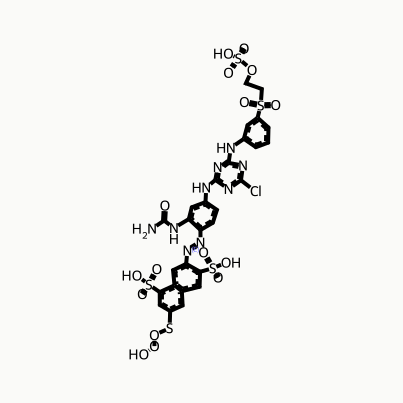 NC(=O)Nc1cc(Nc2nc(Cl)nc(Nc3cccc(S(=O)(=O)CCOS(=O)(=O)O)c3)n2)ccc1/N=N/c1cc2c(S(=O)(=O)O)cc(SOOO)cc2cc1S(=O)(=O)O